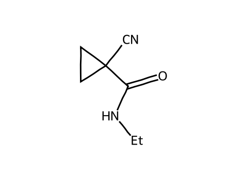 CCNC(=O)C1(C#N)CC1